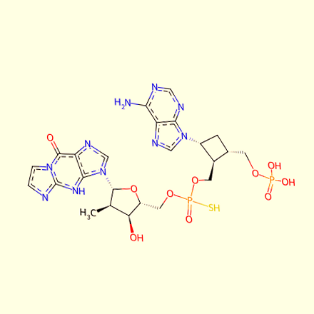 C[C@@H]1[C@H](O)[C@@H](COP(=O)(S)OC[C@@H]2[C@@H](COP(=O)(O)O)C[C@H]2n2cnc3c(N)ncnc32)O[C@H]1n1cnc2c(=O)n3ccnc3[nH]c21